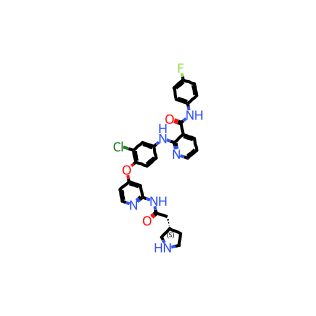 O=C(C[C@@H]1CCNC1)Nc1cc(Oc2ccc(Nc3ncccc3C(=O)Nc3ccc(F)cc3)cc2Cl)ccn1